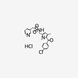 Cc1cc(CNS(=O)(=O)Cc2cccnc2)n(C)c1C(=O)c1ccc(Cl)cc1.Cl